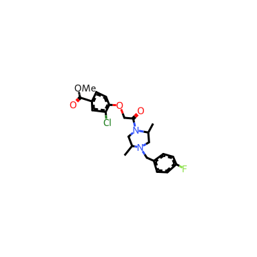 COC(=O)c1ccc(OCC(=O)N2CC(C)N(Cc3ccc(F)cc3)CC2C)c(Cl)c1